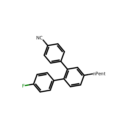 CCCCCc1ccc(-c2ccc(F)cc2)c(-c2ccc(C#N)cc2)c1